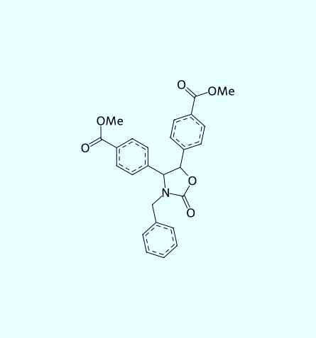 COC(=O)c1ccc(C2OC(=O)N(Cc3ccccc3)C2c2ccc(C(=O)OC)cc2)cc1